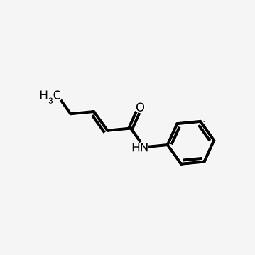 CCC=CC(=O)Nc1c[c]ccc1